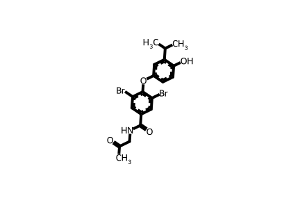 CC(=O)CNC(=O)c1cc(Br)c(Oc2ccc(O)c(C(C)C)c2)c(Br)c1